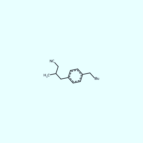 CCC(C)Cc1ccc(CC(C)CC#N)cc1